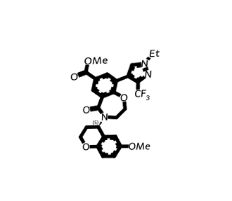 CCn1cc(-c2cc(C(=O)OC)cc3c2OCCN([C@H]2CCOc4ccc(OC)cc42)C3=O)c(C(F)(F)F)n1